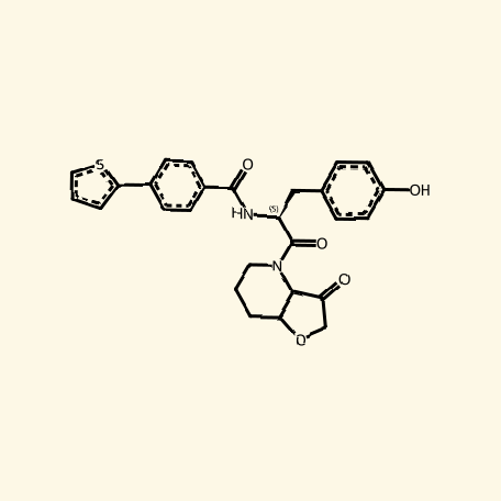 O=C(N[C@@H](Cc1ccc(O)cc1)C(=O)N1CCCC2OCC(=O)C21)c1ccc(-c2cccs2)cc1